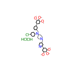 COc1cc(-c2cccc(CN(c3ccc(Cl)cc3)C3CCN(Cc4ccnc(-c5cc(OC)c(OC)c(OC)c5)c4)CC3)c2)cc(OC)c1OC.Cl.Cl